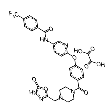 O=C(Nc1ccc(Oc2ccc(C(=O)N3CCN(Cc4n[nH]c(=O)o4)CC3)cc2)nc1)c1ccc(C(F)(F)F)cc1.O=C(O)C(=O)O